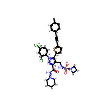 Cc1ccc(C#Cc2ccc(-c3c(CNS(=O)(=O)N4CCC4)c(C(=O)NN4CCCCC4)nn3-c3ccc(Cl)cc3Cl)s2)cc1